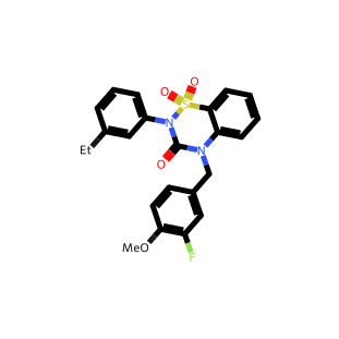 CCc1cccc(N2C(=O)N(Cc3ccc(OC)c(F)c3)c3ccccc3S2(=O)=O)c1